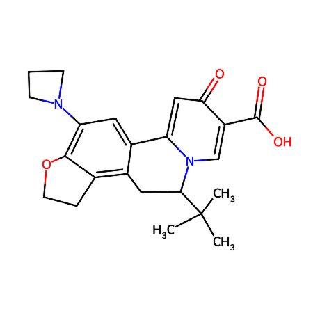 CC(C)(C)C1Cc2c(cc(N3CCC3)c3c2CCO3)-c2cc(=O)c(C(=O)O)cn21